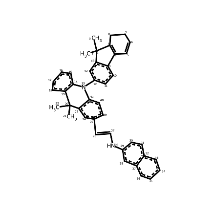 CC1(C)C2=C(C=CCC2)c2ccc(N3c4ccccc4C(C)(C)c4cc(/C=C/Nc5ccc6ccccc6c5)ccc43)cc21